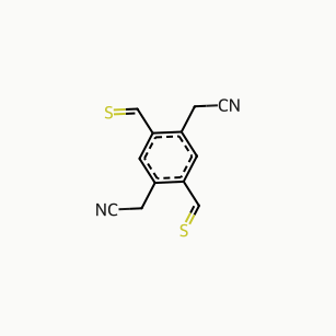 N#CCc1cc(C=S)c(CC#N)cc1C=S